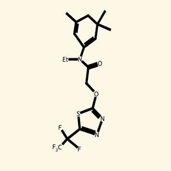 CCN(C(=O)COc1nnc(C(F)(F)C(F)(F)F)s1)C1=CC(C)(C)CC(C)=C1